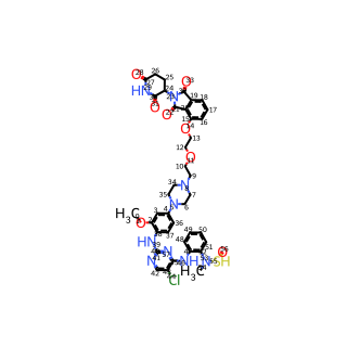 COc1cc(N2CCN(CCOCCOc3cccc4c3C(=O)N(C3CCC(=O)NC3=O)C4=O)CC2)ccc1Nc1ncc(Cl)c(Nc2ccccc2N(C)[SH]=O)n1